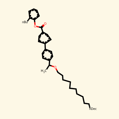 CCCCCCCCCCCCCCCCCCCCOC(C)c1ccc(-c2ccc(C(=O)Oc3ccccc3CCCC)cc2)cc1